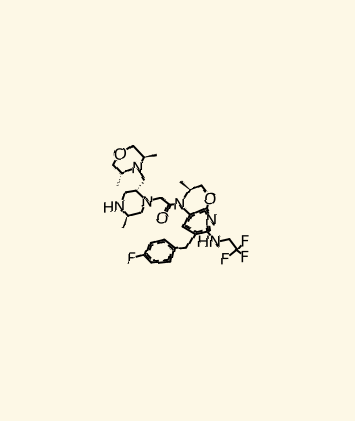 C[C@@H]1CN(CC(=O)N2c3cc(Cc4ccc(F)cc4)c(NCC(F)(F)F)nc3OC[C@@H]2C)[C@@H](CN2[C@H](C)COC[C@H]2C)CN1